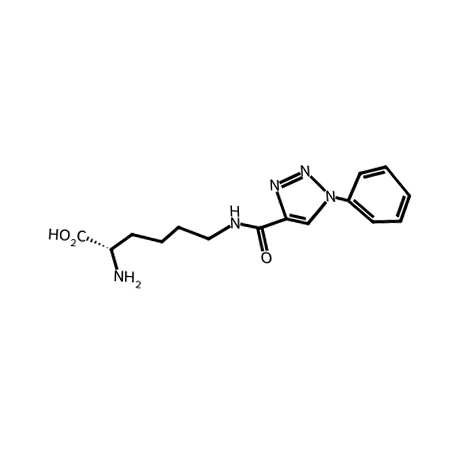 N[C@@H](CCCCNC(=O)c1cn(-c2ccccc2)nn1)C(=O)O